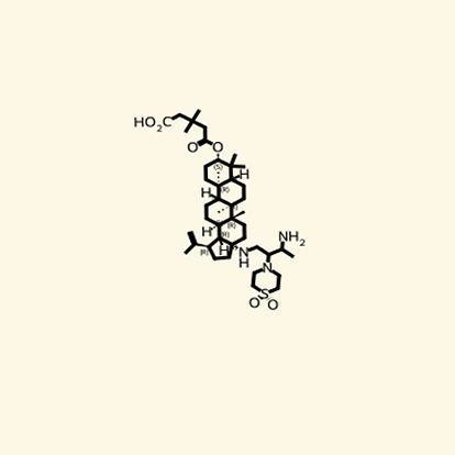 C=C(C)[C@@H]1CC[C@]2(NCC(C(C)N)N3CCS(=O)(=O)CC3)CC[C@]3(C)[C@H](CC[C@@H]4[C@@]5(C)CC[C@H](OC(=O)CC(C)(C)CC(=O)O)C(C)(C)[C@@H]5CC[C@]43C)[C@@H]12